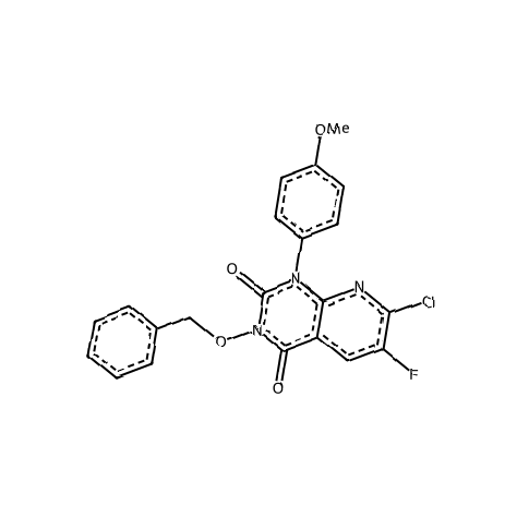 COc1ccc(-n2c(=O)n(OCc3ccccc3)c(=O)c3cc(F)c(Cl)nc32)cc1